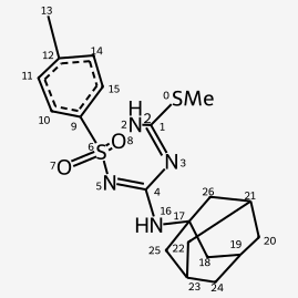 CS/C(N)=N/C(=N\S(=O)(=O)c1ccc(C)cc1)NC12CC3CC(CC(C3)C1)C2